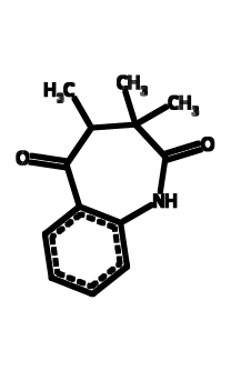 CC1C(=O)c2ccccc2NC(=O)C1(C)C